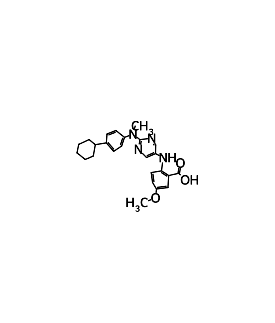 COc1ccc(Nc2cnc(N(C)c3ccc(C4CCCCC4)cc3)nc2)c(C(=O)O)c1